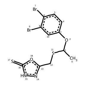 CC(Oc1ccc(Br)c(Br)c1)SCc1n[nH]c(=S)o1